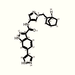 O=C(Nc1cnn(CC2CC3CC[C@@H]2C3)c1)c1n[nH]c2cc(-c3cn[nH]c3)ccc12